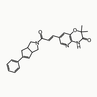 CC1(C)Oc2cc(/C=C/C(=O)N3CC4C=C(c5ccccc5)CC4C3)cnc2NC1=O